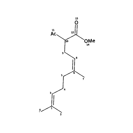 [CH2]C(C)=CCCC(C)=CCC(C(C)=O)C(=O)OC